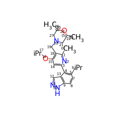 Cc1nc(-c2c(C(C)C)ccc3[nH]ncc23)cc(OC(C)C)c1CN1C[C@H](C)O[C@@H](C)C1